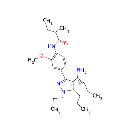 CC/C=C(/N)c1c(-c2ccc(NC(=O)C(C)CC)c(OC)c2)nn(CCC)c1CCC